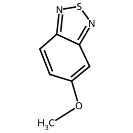 COc1ccc2nsnc2c1